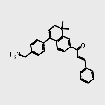 CC1(C)CC=C(c2ccc(CN)cc2)c2ccc(C(=O)C=Cc3ccccc3)cc21